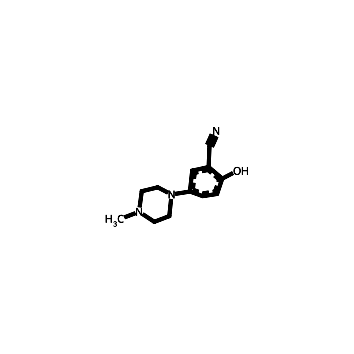 CN1CCN(c2ccc(O)c(C#N)c2)CC1